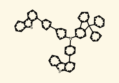 c1ccc(C2(c3ccccc3)c3ccccc3-c3cc(N(c4ccc(-c5ccc(-c6cccc7c6sc6ccccc67)cc5)cc4)c4ccc(-c5cccc6sc7ccccc7c56)cc4)ccc32)cc1